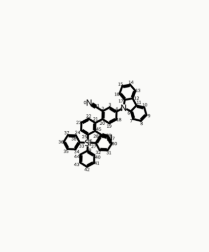 N#Cc1cc(-n2c3ccccc3c3ccccc32)ccc1-c1cccc([Si](c2ccccc2)(c2ccccc2)c2ccccc2)c1C#N